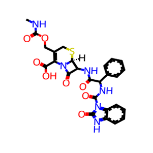 CNC(=O)OCC1=C(C(=O)O)N2C(=O)C(NC(=O)C(NC(=O)n3c(=O)[nH]c4ccccc43)c3ccccc3)[C@@H]2SC1